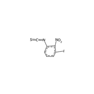 O=[N+]([O-])c1c(I)cccc1N=C=S